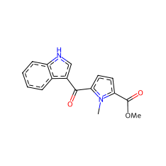 COC(=O)c1ccc(C(=O)c2c[nH]c3ccccc23)n1C